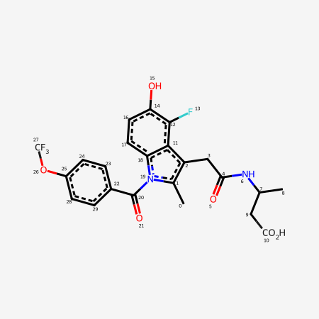 Cc1c(CC(=O)NC(C)CC(=O)O)c2c(F)c(O)ccc2n1C(=O)c1ccc(OC(F)(F)F)cc1